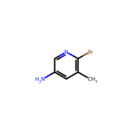 Cc1cc(N)cnc1Br